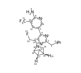 CC(C)Cc1nc(-c2cnc(N)c(C(F)(F)F)c2)cn1[C@@]12C3[C@H]1[C@H]2CN3CCF